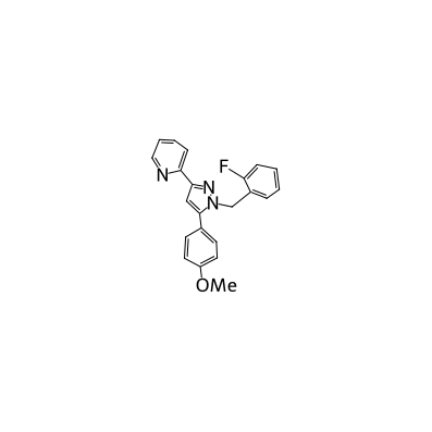 COc1ccc(-c2cc(-c3ccccn3)nn2Cc2ccccc2F)cc1